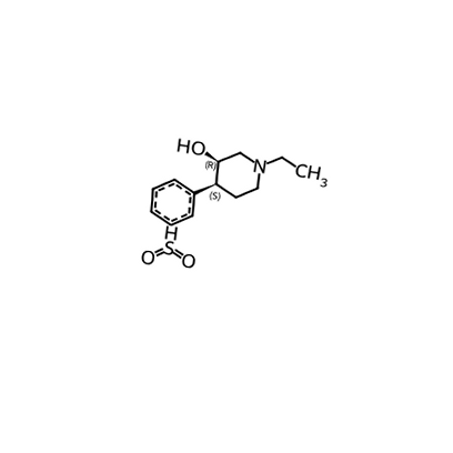 CCN1CC[C@@H](c2cccc([SH](=O)=O)c2)[C@@H](O)C1